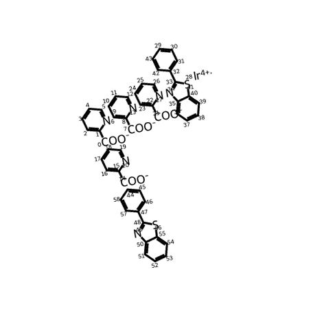 O=C([O-])c1ccccn1.O=C([O-])c1ccccn1.O=C([O-])c1ccccn1.O=C([O-])c1ccccn1.[Ir+4].c1ccc(-c2nc3ccccc3s2)cc1.c1ccc(-c2nc3ccccc3s2)cc1